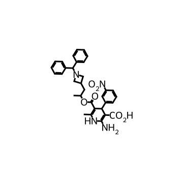 CC1=C(C(=O)OC(C)CC2CN(C(c3ccccc3)c3ccccc3)C2)C(c2cccc([N+](=O)[O-])c2)C(C(=O)O)=C(N)N1